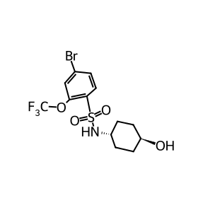 O=S(=O)(N[C@H]1CC[C@H](O)CC1)c1ccc(Br)cc1OC(F)(F)F